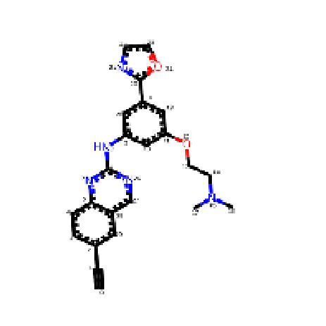 C#Cc1ccc2nc(Nc3cc(OCCN(C)C)cc(-c4ncco4)c3)ncc2c1